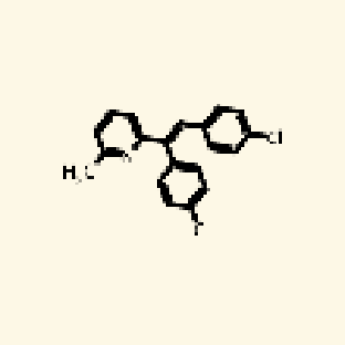 Cc1cccc(/C(=C/c2ccc(Cl)cc2)c2ccc(Cl)cc2)n1